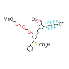 CCO/C=C\C1CC(/C=C/C2CC(C(Cc3ccccc3)SCC(=O)O)CC2COCCOCCOCCOC)CC1C(F)(F)C(F)(F)C(F)(F)C(F)(F)C(F)(F)C(F)(F)F